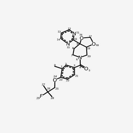 Cc1cc(C(=O)N2CCC3(c4ncccn4)OCOC3C2)ccc1OCC(C)(C)F